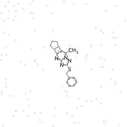 Cc1c2c(nc3nc(SCc4ccccc4)nn13)C1CCCC21